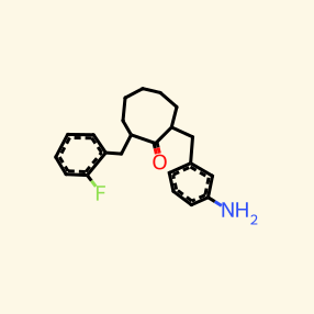 Nc1cccc(CC2CCCCCC(Cc3ccccc3F)C2=O)c1